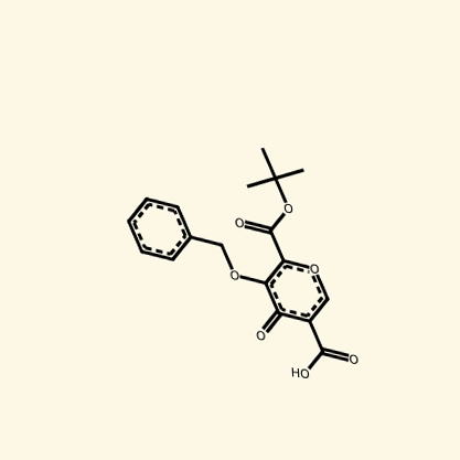 CC(C)(C)OC(=O)c1occ(C(=O)O)c(=O)c1OCc1ccccc1